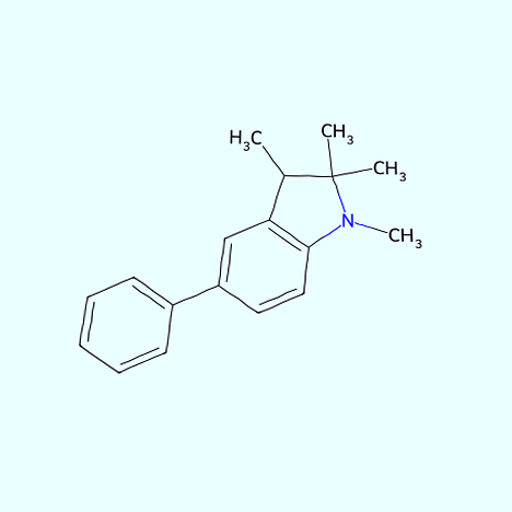 CC1c2cc(-c3ccccc3)ccc2N(C)C1(C)C